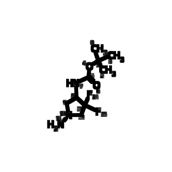 CC(C)(C)OC(=O)NC1CN(N)CC1(F)F